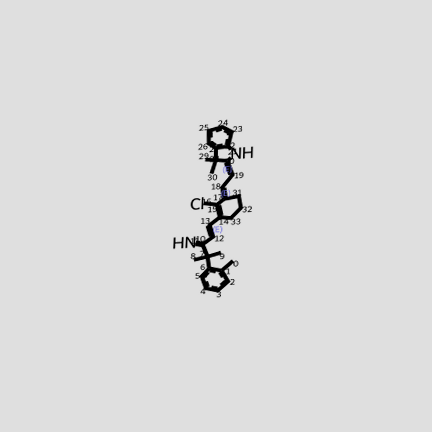 Cc1ccccc1C(C)(C)C(=N)/C=C/C1=C(Cl)C(=C/C=C2/Nc3ccccc3C2(C)C)/CCC1